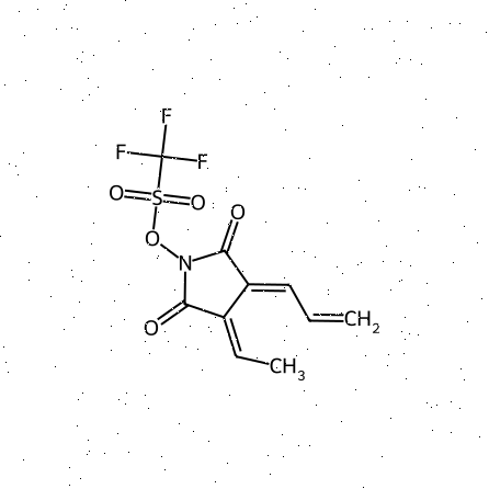 C=C/C=C1/C(=O)N(OS(=O)(=O)C(F)(F)F)C(=O)/C1=C/C